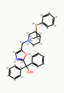 OC(c1ccccc1)(c1ccccc1)c1ncc(C[N+]23CCC(CC2)C(Sc2ccccc2)C3)o1